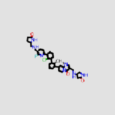 Cc1c(-c2ccn3c(=O)c(CNC4CNC(=O)C4)cnc3c2)cccc1-c1cccc(-c2ccc(CNCC3CCC(=O)N3)c(F)n2)c1Cl